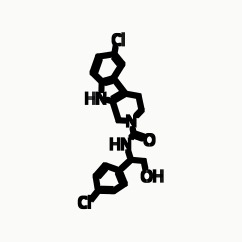 O=C(NC(CO)c1ccc(Cl)cc1)N1CCc2c([nH]c3ccc(Cl)cc23)C1